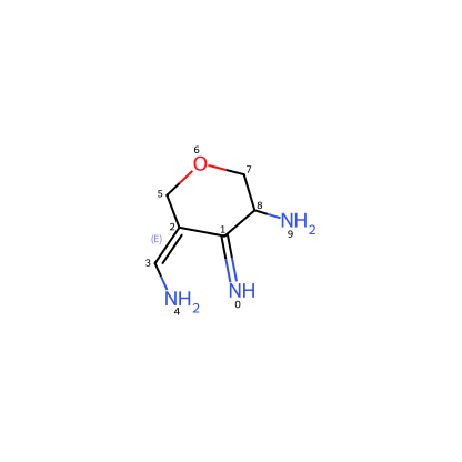 N=C1/C(=C\N)COCC1N